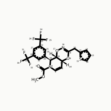 COC(=O)N1C=C[C@H]2OC(Cc3cccs3)=NO[C@H]2[C@@H]1c1cc(C(F)(F)F)cc(C(F)(F)F)c1